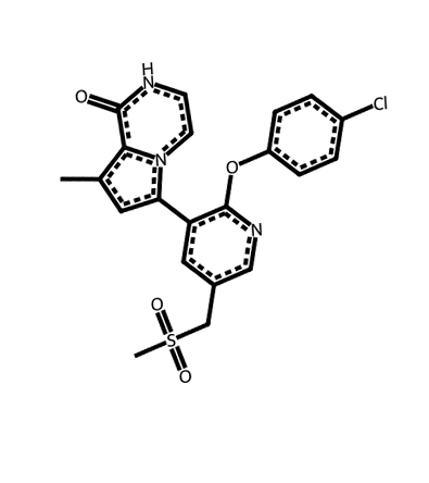 Cc1cc(-c2cc(CS(C)(=O)=O)cnc2Oc2ccc(Cl)cc2)n2cc[nH]c(=O)c12